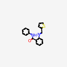 O=C(Nc1ccccc1)c1ccccc1N=Cc1cccs1